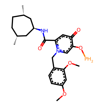 COc1ccc(Cn2cc(OP)c(=O)cc2C(=O)N[C@H]2C[C@H](C)CC[C@H](C)C2)c(OC)c1